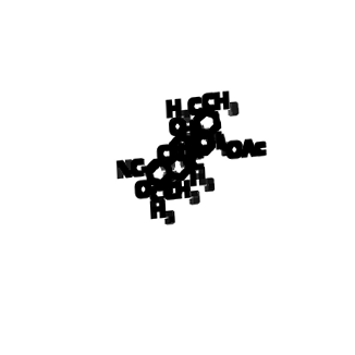 CC(=O)OCC[C@@]12CCC(C)(C)C[C@H]1[C@H]1C(=O)CC3[C@@]4(C)C=C(C#N)C(=O)C(C)(C)[C@@H]4CC[C@@]3(C)[C@]1(C)CC2